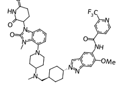 COc1cc2nn([C@H]3CC[C@H](CN(C)C4CCN(c5cccc6c5n(C)c(=O)n6C5CCC(=O)NC5=O)CC4)CC3)cc2cc1NC(=O)c1ccnc(C(F)(F)F)c1